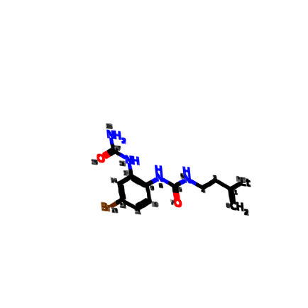 C=C(CC)CCNC(=O)Nc1ccc(Br)cc1NC(N)=O